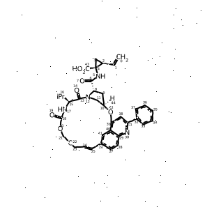 C=C[C@@H]1C[C@]1(NC(=O)[C@@H]1C[C@@H]2CN1C(=O)[C@H](C(C)C)NC(=O)OCCC/C=C/c1ccc3nc(-c4ccccc4)cc(c3c1)O2)C(=O)O